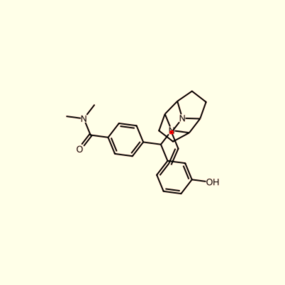 C=CCN1C2CCC1C1CCC2N1C(c1ccc(C(=O)N(C)C)cc1)c1cccc(O)c1